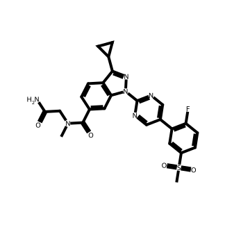 CN(CC(N)=O)C(=O)c1ccc2c(C3CC3)nn(-c3ncc(-c4cc(S(C)(=O)=O)ccc4F)cn3)c2c1